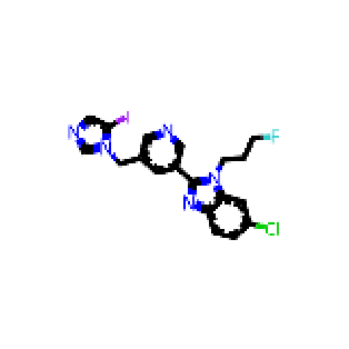 FCCCn1c(-c2cncc(Cn3cncc3I)c2)nc2ccc(Cl)cc21